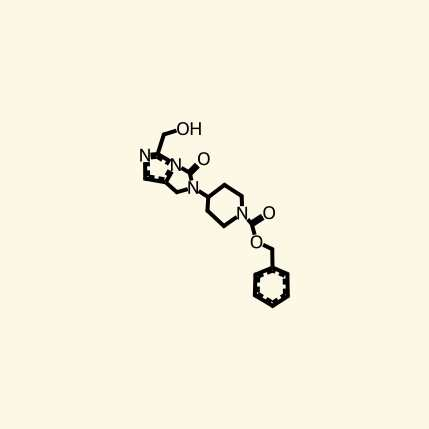 O=C(OCc1ccccc1)N1CCC(N2Cc3cnc(CO)n3C2=O)CC1